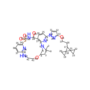 CC1(C)CC2CN1c1nc(-n3ccc(OCCC4C5(CC5)C45CC5)n3)ccc1C(=O)NS(=O)(=O)c1cccc(n1)NCCO2